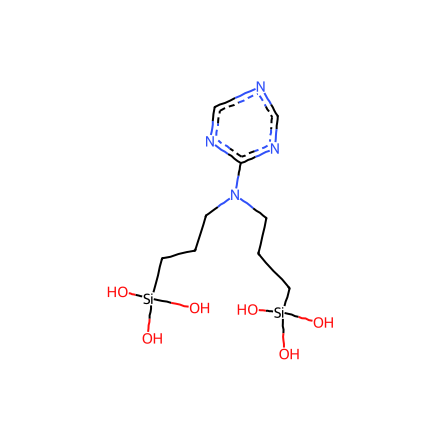 O[Si](O)(O)CCCN(CCC[Si](O)(O)O)c1ncncn1